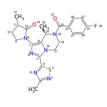 Cc1nsc(-c2nc(N3CCC(C)C3=O)c3n2CCN(C(=O)c2ccc(F)cc2)[C@@H]3C)n1